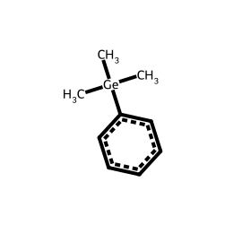 [CH3][Ge]([CH3])([CH3])[c]1ccccc1